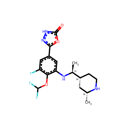 C[C@@H]1C[C@H]([C@H](C)Nc2cc(-c3n[nH]c(=O)o3)cc(F)c2OC(F)F)CCN1